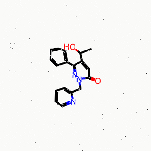 CC(O)c1cc(=O)n(Cc2ccccn2)nc1-c1ccccc1